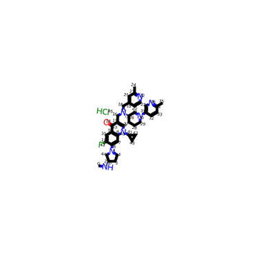 CN[C@H]1CCN(c2cc3c(cc2F)c(=O)c(CN(Cc2ccnc(C)c2)[C@H]2CCCN(c4ccc(C)nc4)C2)cn3C2CC2)C1.Cl